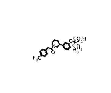 CC(C)(Oc1cccc(C2CCCN(C(=O)Cc3ccc(C(F)(F)F)cc3)C2)c1)C(=O)O